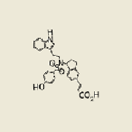 O=C(O)C=Cc1ccc2c(c1)CCC2N(CCc1c[nH]c2ccccc12)S(=O)(=O)c1ccc(O)cc1